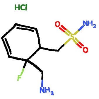 Cl.NCC1(F)C=CC=CC1CS(N)(=O)=O